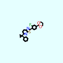 Fc1cc(C2OCCCO2)ccc1-c1nc2ccc(C3(c4ccccc4)CC3)nc2s1